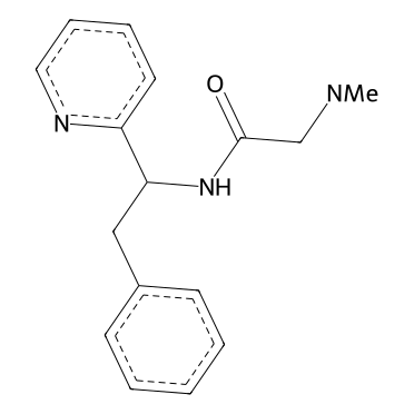 CNCC(=O)NC(Cc1ccccc1)c1ccccn1